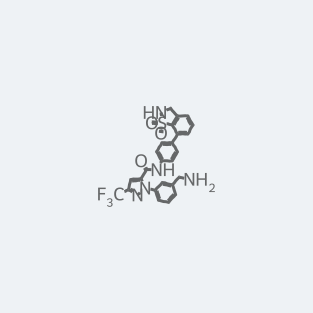 NCc1cccc(-n2nc(C(F)(F)F)cc2C(=O)Nc2ccc(-c3cccc4c3S(=O)(=O)NC4)cc2)c1